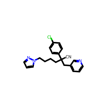 N#CC(CCCCn1cccn1)(Cc1cccnc1)c1ccc(Cl)cc1